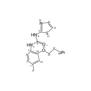 Cc1ccc(NC(=O)Nc2nccs2)c(OCCC(C)C)c1